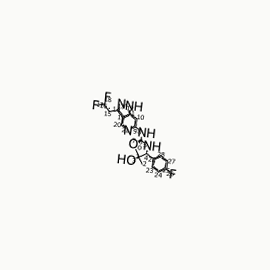 CC(C)(O)[C@@H](NC(=O)Nc1cc2[nH]nc([CH]C(F)F)c2cn1)c1ccc(F)cc1